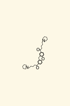 O=C(CCCCN1CCCCC1)c1ccc2c(c1)Cc1cc(C(=O)CCCCN3CCCCC3)ccc1O2